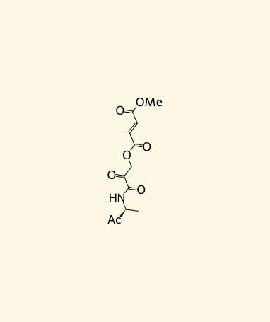 COC(=O)/C=C/C(=O)OCC(=O)C(=O)N[C@@H](C)C(C)=O